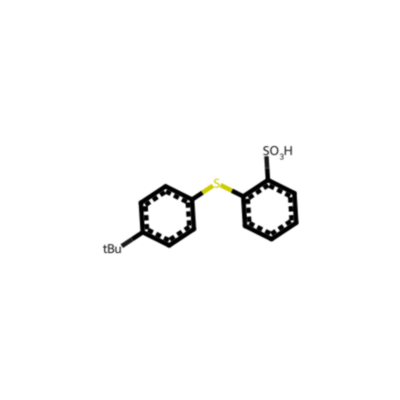 CC(C)(C)c1ccc(Sc2ccccc2S(=O)(=O)O)cc1